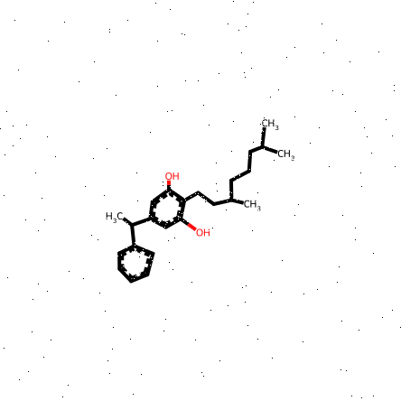 CC(C)CCCC(C)CCc1c(O)cc(C(C)c2ccccc2)cc1O